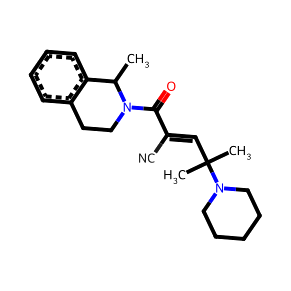 CC1c2ccccc2CCN1C(=O)/C(C#N)=C/C(C)(C)N1CCCCC1